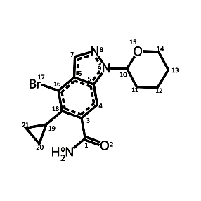 NC(=O)c1cc2c(cnn2C2CCCCO2)c(Br)c1C1CC1